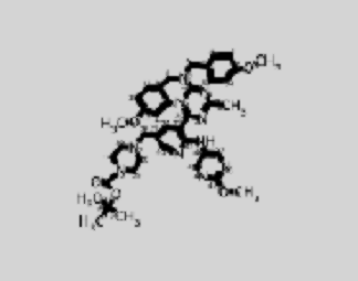 COc1ccc(CN(Cc2ccc(OC)cc2)c2nc(C)nc(-c3cc(CN4CCN(C(=O)OC(C)(C)C)CC4)cnc3Nc3cnc(OC)nc3)n2)cc1